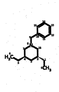 CC[C@@H]1C[C@@H](CC)CN(Cc2ccccc2)C1